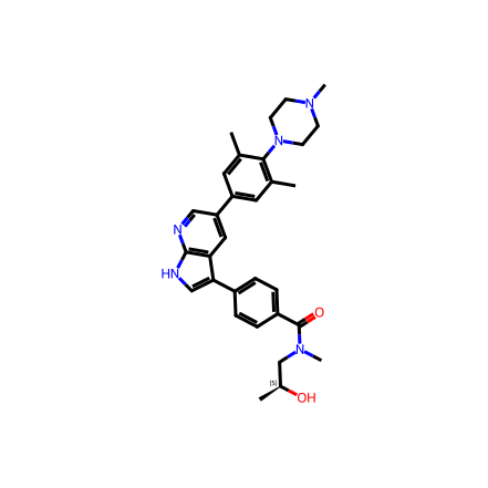 Cc1cc(-c2cnc3[nH]cc(-c4ccc(C(=O)N(C)C[C@H](C)O)cc4)c3c2)cc(C)c1N1CCN(C)CC1